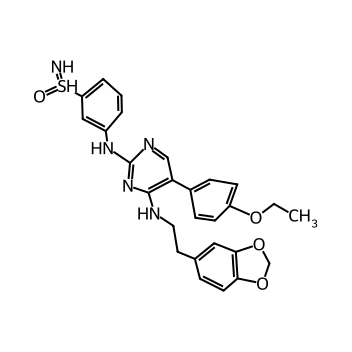 CCOc1ccc(-c2cnc(Nc3cccc([SH](=N)=O)c3)nc2NCCc2ccc3c(c2)OCO3)cc1